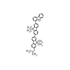 CC(C)Cc1ccc2c(c1)C(C)(C)c1cc(-c3ccc4c(c3)C(C)(C)c3cc(-c5cccc6c5oc5ccccc56)ccc3-4)ccc1-2